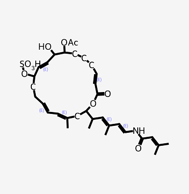 CC(=O)OC1CCC/C=C/C(=O)OC(C(C)/C=C(C)/C=C/NC(=O)C=C(C)C)C/C(C)=C/C=C/CCC(OS(=O)(=O)O)/C=C/C1O